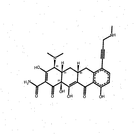 CNCC#Cc1ccc(O)c2c1C[C@H]1C[C@H]3[C@H](N(C)C)C(O)=C(C(N)=O)C(=O)[C@@]3(O)C(O)=C1C2=O